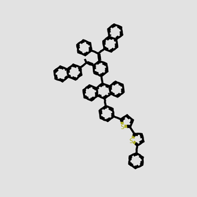 C/C(c1ccc2ccccc2c1)=c1/cc(-c2c3ccccc3c(-c3cccc(-c4ccc(-c5ccc(-c6ccccc6)s5)s4)c3)c3ccccc23)cc/c1=C(/c1ccccc1)c1ccc2ccccc2c1